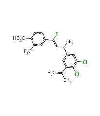 C=C(C)c1cc(C(C=C(F)c2ccc(C(=O)O)c(C(F)(F)F)c2)C(F)(F)F)cc(Cl)c1Cl